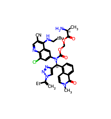 C=C(CC)n1cc([C@H](c2cccc3c(=O)n(C)ccc23)N(C(=O)OCOC(=O)[C@H](C)N)c2cc(Cl)c3ncc(C#N)c(NCC(C)(C)C)c3c2)nn1